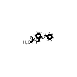 C=CC(=O)N1CCc2c(OCc3ccccc3)cccc21